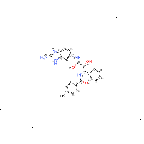 CCc1ccc(C(=O)NC(c2ccccc2)C(O)C(=O)Nc2ccc3nc(N)[nH]c3c2)cc1